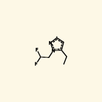 CCc1c[c]nn1CC(F)F